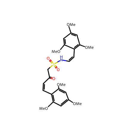 COc1cc(OC)c(/C=C\NS(=O)(=O)CC(=O)/C=C\c2c(OC)cc(OC)cc2OC)c(OC)c1